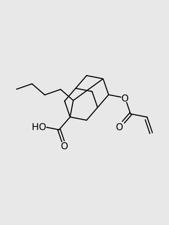 C=CC(=O)OC1C2CC3CC1C(CCCC)C(C(=O)O)(C3)C2